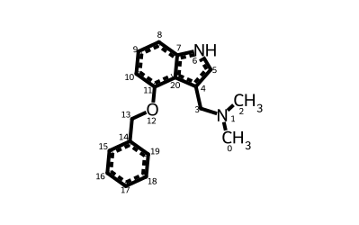 CN(C)Cc1c[nH]c2cccc(OCc3ccccc3)c12